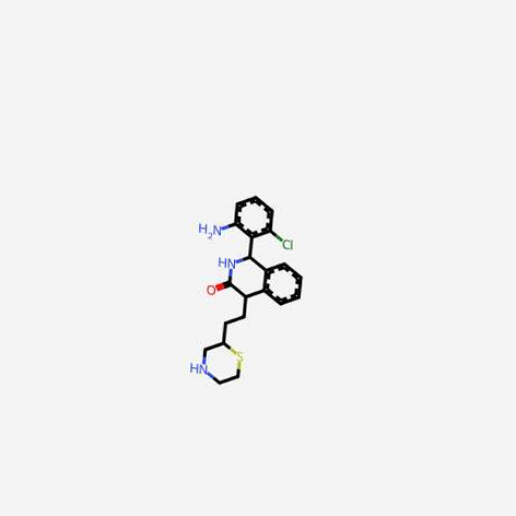 Nc1cccc(Cl)c1C1NC(=O)C(CCC2CNCCS2)c2ccccc21